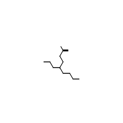 CCCCC(CCC)CCC(=O)O